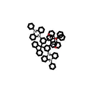 c1ccc(N2c3ccccc3N(c3cc(N4c5ccccc5N(c5ccccc5)c5ccccc54)cc(C4(c5cc(N6c7ccccc7N(c7ccccc7)c7ccccc76)cc(N6c7ccccc7N(c7ccccc7)c7ccccc76)c5)c5ccccc5-c5ccccc54)c3)c3ccccc32)cc1